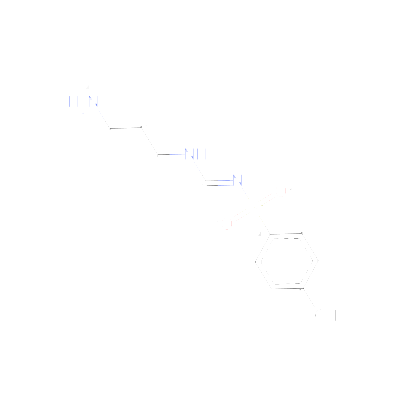 Cc1ccc(S(=O)(=O)N=CNCCCN)cc1